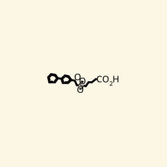 O=C(O)CCCCS(=O)(=O)CC(=O)c1ccc(-c2ccccc2)cc1